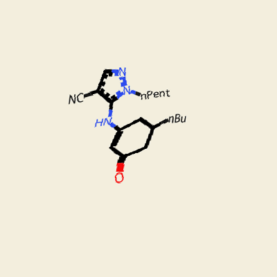 CCCCCn1ncc(C#N)c1NC1=CC(=O)CC(CCCC)C1